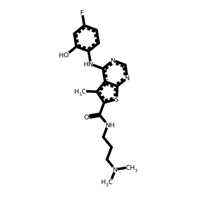 Cc1c(C(=O)NCCCN(C)C)sc2ncnc(Nc3ccc(F)cc3O)c12